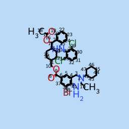 CCN(Cc1cc(C(=O)OCC2CCC(C(OC(C)=O)c3ccccc3Nc3c(Cl)cccc3Cl)CC2)cc(Br)c1N)C1CCCCC1